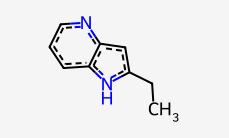 CCc1cc2ncccc2[nH]1